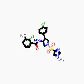 Cn1cnc(S(=O)(=O)N2CC(NC(=O)c3cccc(C(F)(F)F)c3Cl)C(c3ccc(Cl)cc3)C2)c1